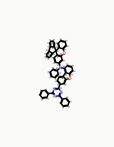 c1ccc(-c2nc(-c3ccccc3)nc(-c3ccc4c(c3)oc3cccc(N(c5ccccc5)c5ccc6c(c5)Oc5ccccc5C65c6ccccc6-c6ccccc65)c34)n2)cc1